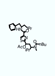 CCCCC(=O)N(C)C(CC(OC(C)=O)c1nc(C(=O)NC(Cc2ccccc2)CC(C)C)cs1)C(C)C